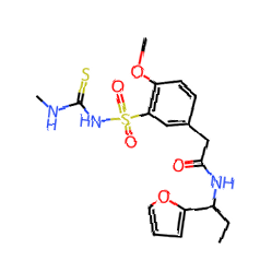 CCC(NC(=O)Cc1ccc(OC)c(S(=O)(=O)NC(=S)NC)c1)c1ccco1